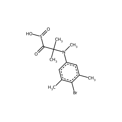 Cc1cc(N(C)C(C)(C)C(=O)S(=O)O)cc(C)c1Br